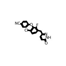 N#Cc1ccc(Oc2c(Cl)ccc(Cc3ccc(=O)[nH]n3)c2F)cc1